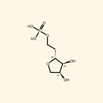 O=P(O)(O)OCC[C@H]1OC[C@H](O)[C@@H]1O